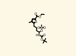 CCOC(=O)c1cc(C)c(CCCC(NC(=O)OC(C)(C)C)OS(C)(=O)=O)s1